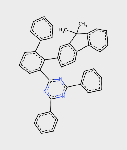 CC1(C)c2ccccc2-c2ccc(-c3c(-c4ccccc4)cccc3-c3nc(-c4ccccc4)nc(-c4ccccc4)n3)cc21